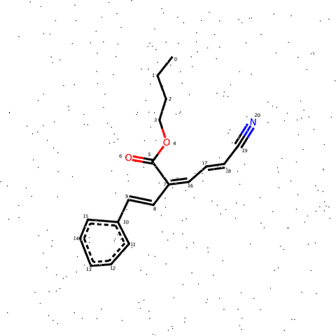 CCCCOC(=O)C(C=Cc1ccccc1)=CC=CC#N